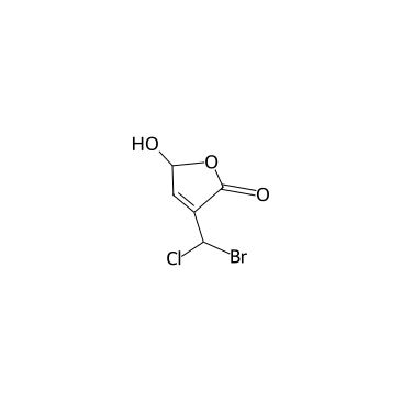 O=C1OC(O)C=C1C(Cl)Br